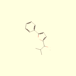 CC(C)C(O)c1ccc(-c2ccccc2)o1